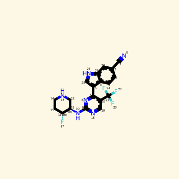 N#Cc1ccc2c(-c3nc(N[C@@H]4CNCC[C@H]4F)ncc3C(F)(F)F)c[nH]c2c1